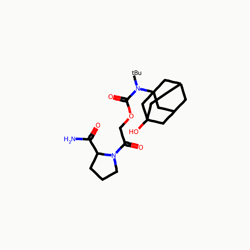 CC(C)(C)N(C(=O)OCC(=O)N1CCCC1C(N)=O)C12CC3CC(CC(O)(C3)C1)C2